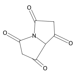 O=C1CC(=O)N2C(=O)CC(=O)C12